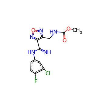 COC(=O)NCc1nonc1C(=N)Nc1ccc(F)c(Cl)c1